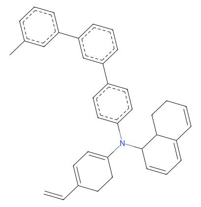 C=CC1=CC=C(N(c2ccc(-c3cccc(-c4cccc(C)c4)c3)cc2)C2C=CC=C3C=CCCC32)CC1